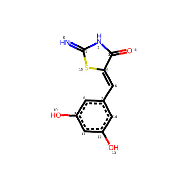 N=C1NC(=O)/C(=C/c2cc(O)cc(O)c2)S1